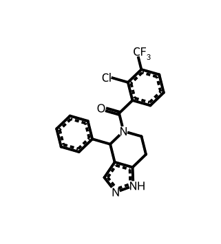 O=C(c1cccc(C(F)(F)F)c1Cl)N1CCc2[nH]ncc2C1c1ccccc1